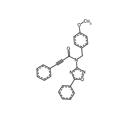 COc1ccc(CN(C(=O)C#Cc2ccccc2)c2noc(-c3ccccc3)n2)cc1